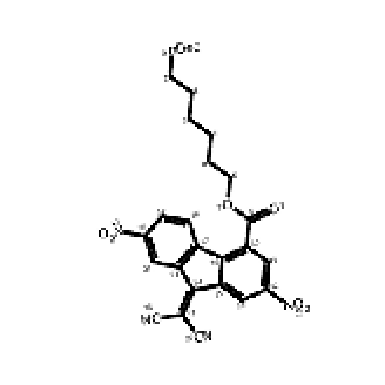 CCCCCCCCCCCCCCCCOC(=O)c1cc([N+](=O)[O-])cc2c1-c1ccc([N+](=O)[O-])cc1C2=C(C#N)C#N